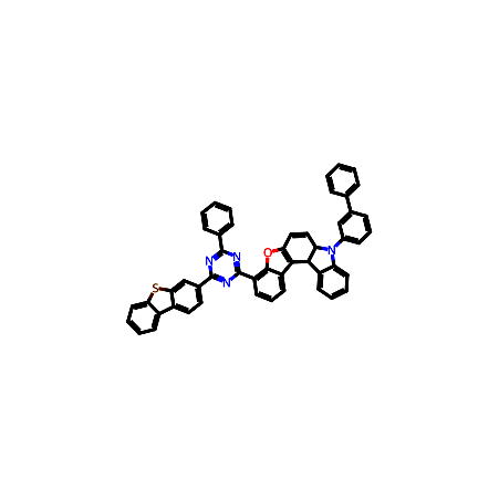 C1=CC2C(c3ccccc3N2c2cccc(-c3ccccc3)c2)c2c1oc1c(-c3nc(-c4ccccc4)nc(-c4ccc5c(c4)sc4ccccc45)n3)cccc21